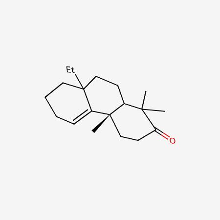 CCC12CCCC=C1[C@@]1(C)CCC(=O)C(C)(C)C1CC2